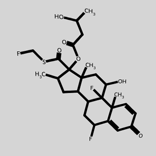 CC(O)CC(=O)OC1(C(=O)SCF)C(C)CC2C3CC(F)C4=CC(=O)C=CC4(C)C3(F)C(O)CC21C